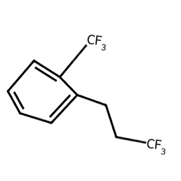 FC(F)(F)CCc1ccccc1C(F)(F)F